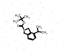 CC(C)c1cccc2c1CN(C(=O)OC(C)(C)C)C2